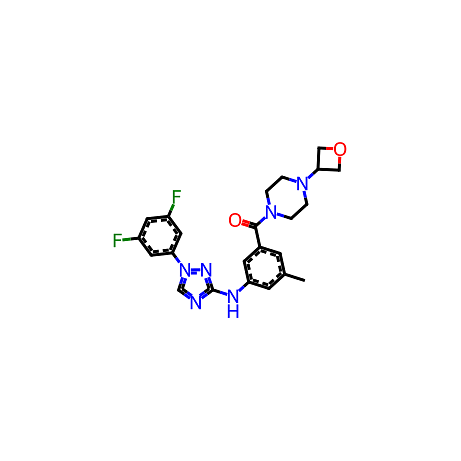 Cc1cc(Nc2ncn(-c3cc(F)cc(F)c3)n2)cc(C(=O)N2CCN(C3COC3)CC2)c1